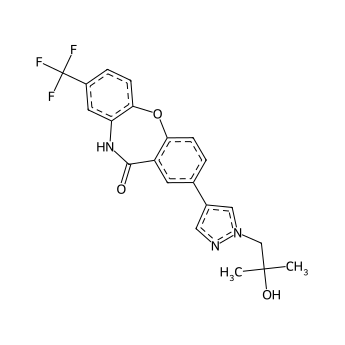 CC(C)(O)Cn1cc(-c2ccc3c(c2)C(=O)Nc2cc(C(F)(F)F)ccc2O3)cn1